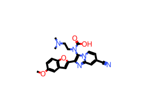 COc1ccc2oc(-c3nc4cc(C#N)ccn4c3N(CCN(C)C)C(=O)O)cc2c1